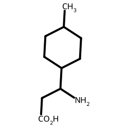 CC1CCC(C(N)CC(=O)O)CC1